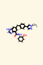 Cn1cc(-c2ccc(Cc3cc(C(=O)N[C@H]4CCCC[C@@H]4O)c4nc[nH]c4c3)cc2)cn1